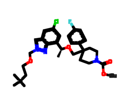 C[C@@H](OCC1(c2ccc(F)cc2)CCN(C(=O)OC(C)(C)C)CC1)c1cc(Cl)cc2cn(COCC[Si](C)(C)C)nc12